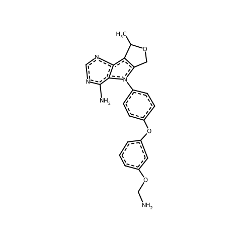 CC1OCc2c1c1ncnc(N)c1n2-c1ccc(Oc2cccc(OCN)c2)cc1